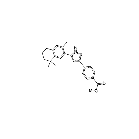 COC(=O)c1ccc(-c2cc(-c3cc4c(cc3C)CCCC4(C)C)[nH]n2)cc1